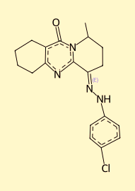 CC1CC/C(=N\Nc2ccc(Cl)cc2)c2nc3c(c(=O)n21)CCCC3